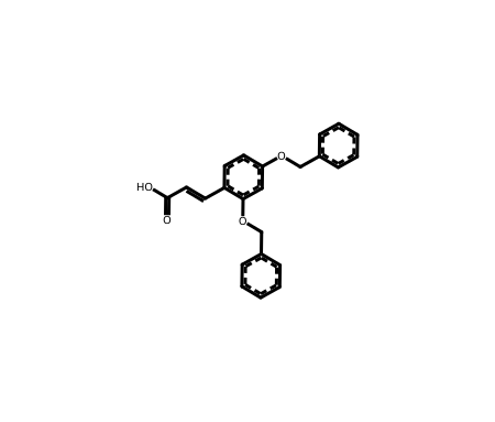 O=C(O)C=Cc1ccc(OCc2ccccc2)cc1OCc1ccccc1